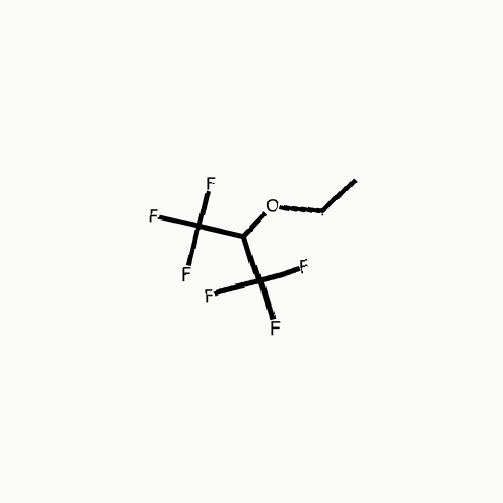 C[CH]OC(C(F)(F)F)C(F)(F)F